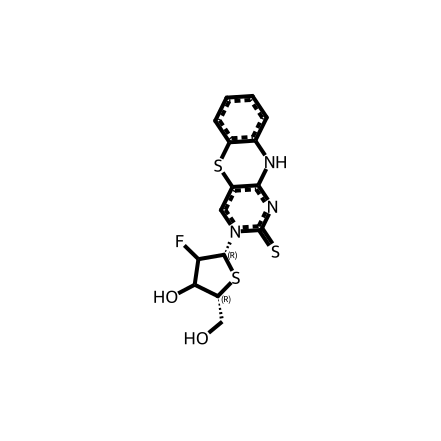 OC[C@H]1S[C@@H](n2cc3c(nc2=S)Nc2ccccc2S3)C(F)C1O